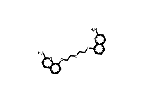 Nc1ccc2cccc(OCCOCCOc3cccc4ccc(N)nc34)c2n1